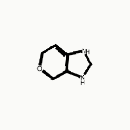 C1=C2NCNC2COC1